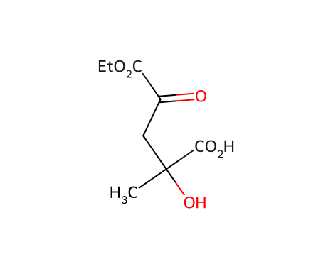 CCOC(=O)C(=O)CC(C)(O)C(=O)O